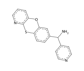 NC(c1ccncc1)c1ccc2c(c1)Oc1cccnc1S2